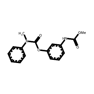 COC(=O)Nc1cccc(OC(=O)N(C)c2ccccc2)c1